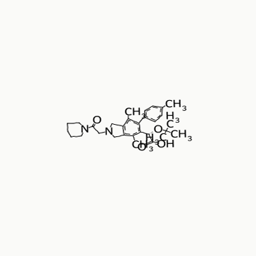 Cc1ccc(-c2c(C)c3c(c(C)c2[C@H](OC(C)(C)C)C(=O)O)CN(CC(=O)N2CCCCC2)C3)cc1